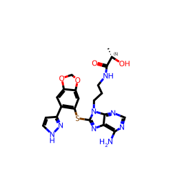 C[C@H](O)C(=O)NCCCn1c(Sc2cc3c(cc2-c2cc[nH]n2)OCO3)nc2c(N)ncnc21